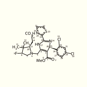 COC(=O)C1=C(CN2CC(F)C(C)(C)[C@H]2CCC(=O)O)NC(c2nccs2)=N[C@H]1c1ccc(Cl)cc1Cl